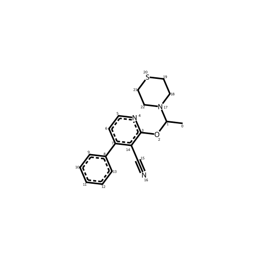 CC(Oc1nccc(-c2ccccc2)c1C#N)N1CCSCC1